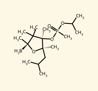 B[C@]1(C)O[C@](C)(CC(C)C)[C@](C)(OP(C)(=O)OC(C)C)C1(C)C